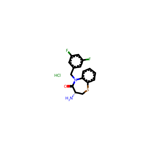 Cl.N[C@H]1CSc2ccccc2N(Cc2cc(F)cc(F)c2)C1=O